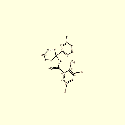 O=C(OC1(c2cccc(F)c2)CCNCC1)c1cc(I)cc(I)c1O